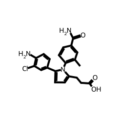 Cc1cc(C(N)=O)ccc1-n1c(CCC(=O)O)ccc1-c1ccc(N)c(Cl)c1